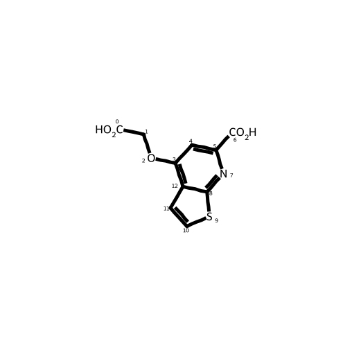 O=C(O)COc1cc(C(=O)O)nc2sccc12